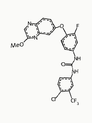 COc1cnc2ccc(Oc3ccc(NC(=O)Nc4ccc(Cl)c(C(F)(F)F)c4)cc3F)cc2n1